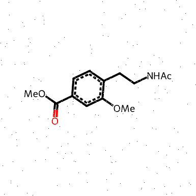 COC(=O)c1ccc(CCNC(C)=O)c(OC)c1